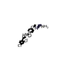 C=C(/N=C\C=C/N)OC1CCN(C(=O)NCCc2ccc(Cl)cc2Cl)CC1